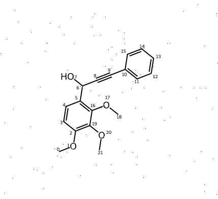 COc1ccc(C(O)C#Cc2ccccc2)c(OC)c1OC